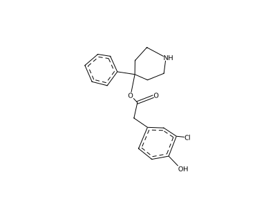 O=C(Cc1ccc(O)c(Cl)c1)OC1(c2ccccc2)CCNCC1